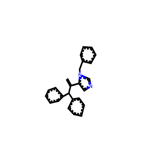 C=C(c1cncn1Cc1ccccc1)C(c1ccccc1)c1ccccc1